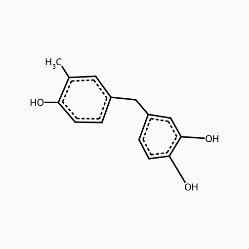 Cc1cc(Cc2ccc(O)c(O)c2)ccc1O